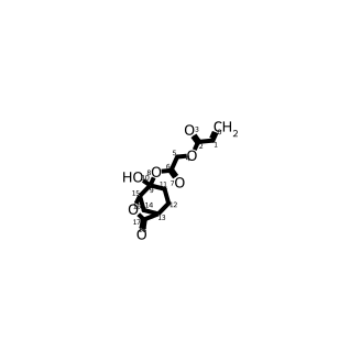 C=CC(=O)OCC(=O)OC1(O)CCC2CC1OC2=O